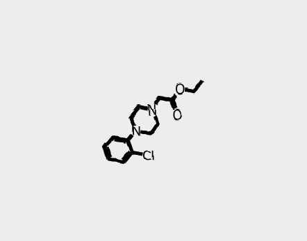 CCOC(=O)CN1CCN(c2ccccc2Cl)CC1